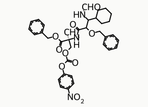 C[C@@](COC(=O)Oc1ccc([N+](=O)[O-])cc1)(NC(=O)C(OCc1ccccc1)C(NC=O)C1CCCCC1)C(=O)OCc1ccccc1